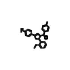 CCc1ccccc1C1CC(c2ccc(F)cc2)=CC1C(=O)c1ccc(C)cc1